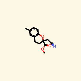 COC(=O)C1(CC#N)CCc2cc(C)ccc2O1